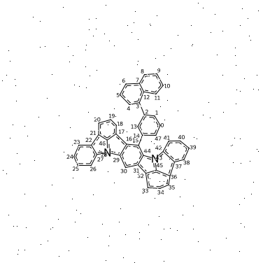 c1cc(-c2cccc3ccccc23)cc(-c2c3c4cccc5c6ccccc6n(c3cc3c6cccc7c8ccccc8n(c23)c76)c54)c1